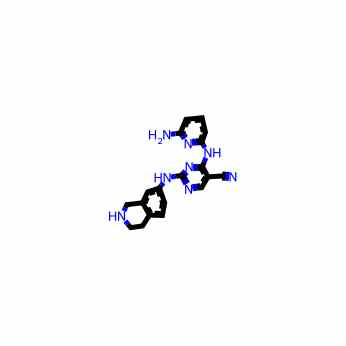 N#Cc1cnc(Nc2ccc3c(c2)CNCC3)nc1Nc1cccc(N)n1